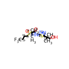 CC(C)(CO)c1nnc(NC(=O)C(C)(C)[S+]([O-])CCCC(F)(F)F)s1